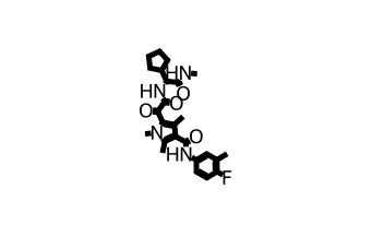 CNC(=O)C(NC(=O)C(=O)c1c(C)c(C(=O)Nc2ccc(F)c(C)c2)c(C)n1C)C1CCCC1